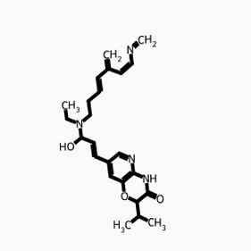 C=N/C=C\C(=C)/C=C/CCN(CC)C(O)/C=C/c1cnc2c(c1)OC(C(C)C)C(=O)N2